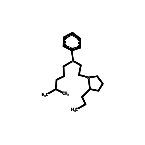 CCCC1CCCN1CCN(CCCC(C)C)c1ccccc1